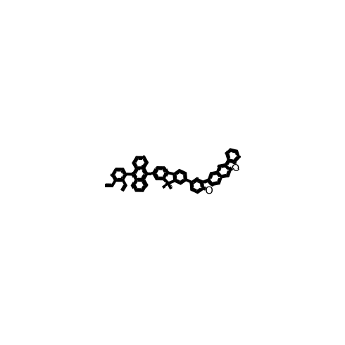 C=Cc1cccc(-c2c3ccccc3c(-c3ccc4c(c3)C(C)(C)c3cc(-c5ccc6oc7cc8cc9oc%10ccccc%10c9cc8cc7c6c5)ccc3-4)c3ccccc23)c1C=C